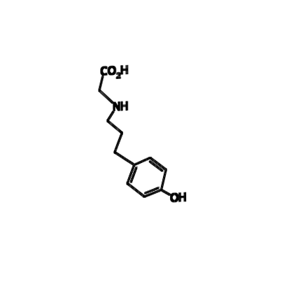 O=C(O)CNCCCc1ccc(O)cc1